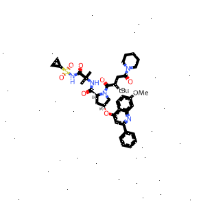 COc1ccc2c(O[C@@H]3C[C@@H](C(=O)NC(C)(C)C(=O)NS(=O)(=O)C4CC4)N(C(=O)C(CC(=O)N4CCCCC4)C(C)(C)C)C3)cc(-c3ccccc3)nc2c1